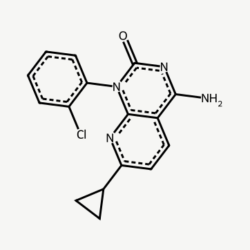 Nc1nc(=O)n(-c2ccccc2Cl)c2nc(C3CC3)ccc12